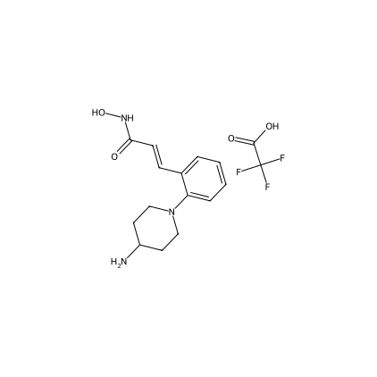 NC1CCN(c2ccccc2C=CC(=O)NO)CC1.O=C(O)C(F)(F)F